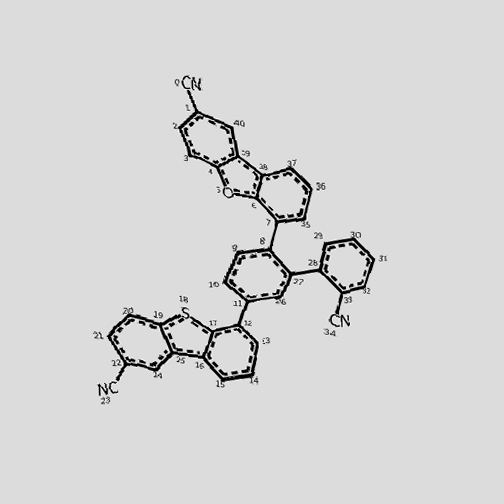 N#Cc1ccc2oc3c(-c4ccc(-c5cccc6c5sc5ccc(C#N)cc56)cc4-c4ccccc4C#N)cccc3c2c1